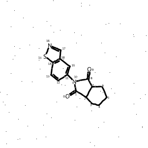 O=C1C2CCCCC2C(=O)N1c1ccc2sncc2c1